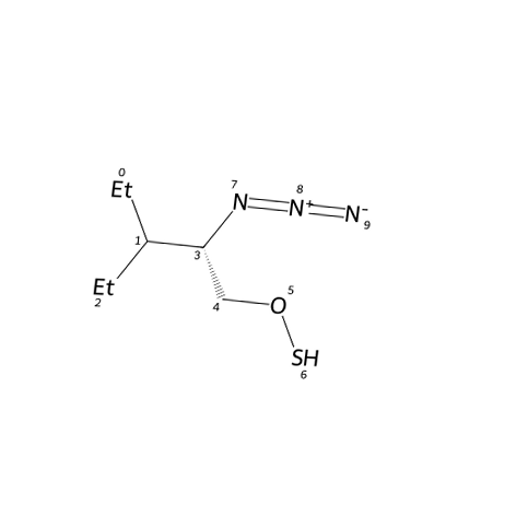 CCC(CC)[C@@H](COS)N=[N+]=[N-]